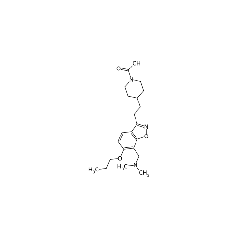 CCCOc1ccc2c(CCC3CCN(C(=O)O)CC3)noc2c1CN(C)C